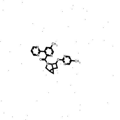 Cc1cnc(OC2CC34CC3CN(C(=O)c3ncc(C)cc3-c3ncccn3)C24)nc1